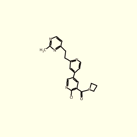 Cc1nccc(CCc2cc(-c3cnc(Cl)c(C(=O)N4CCC4)c3)ccn2)n1